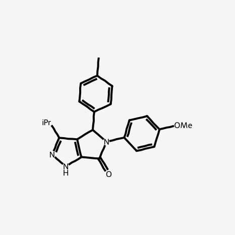 COc1ccc(N2C(=O)c3[nH]nc(C(C)C)c3C2c2ccc(C)cc2)cc1